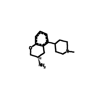 CN1CCC(c2cccc3c2C[C@H](N)CO3)CC1